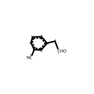 N#Cc1cccc(C[C]=O)c1